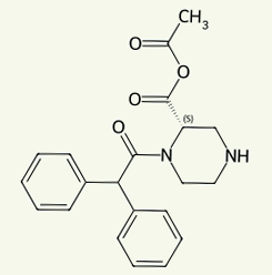 CC(=O)OC(=O)[C@@H]1CNCCN1C(=O)C(c1ccccc1)c1ccccc1